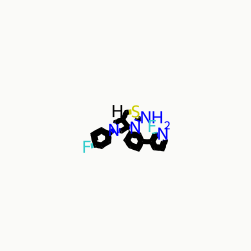 NC1=N[C@@]2(c3cccc(-c4cccnc4F)c3)CN(c3ccc(F)cc3)C[C@H]2CS1